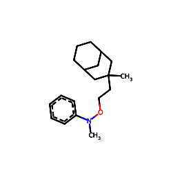 CN(OCCC1(C)CC2CCCC(C2)C1)c1ccccc1